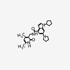 Cc1cc(C)c(CNC(=O)c2cc(N3CCCC3)cc3c2ccn3C2CCCC2)c(=O)[nH]1